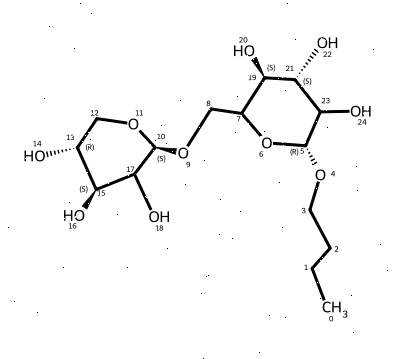 CCCCO[C@@H]1OC(CO[C@@H]2OC[C@@H](O)[C@H](O)C2O)[C@@H](O)[C@H](O)C1O